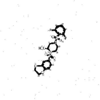 C[C@H]1CN(S(=O)(=O)c2c(F)cccc2F)CCN1S(=O)(=O)c1ccc2c(c1)OCCO2